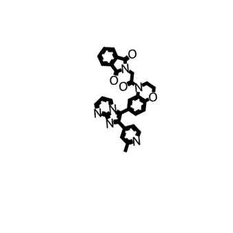 Cc1cc(-c2nc3ncccn3c2-c2ccc3c(c2)N(C(=O)CN2C(=O)c4ccccc4C2=O)CCO3)ccn1